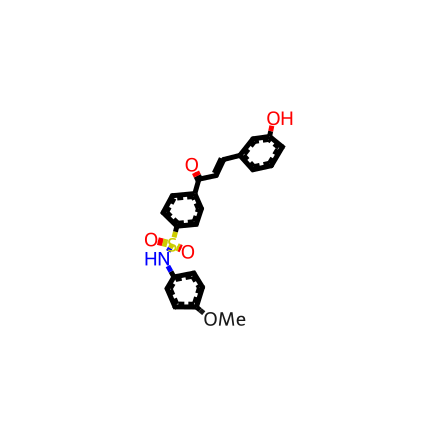 COc1ccc(NS(=O)(=O)c2ccc(C(=O)C=Cc3cccc(O)c3)cc2)cc1